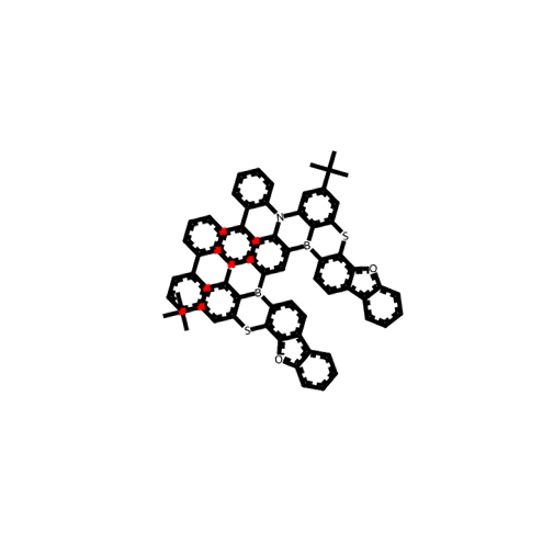 CC(C)(C)c1cc2c3c(c1)N(c1ccccc1-c1ccccc1)c1cc4c(cc1B3c1ccc3c(oc5ccccc53)c1S2)B1c2ccc3c(oc5ccccc53)c2Sc2cc(C(C)(C)C)cc(c21)N4c1ccccc1-c1ccccc1